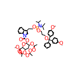 COC(=O)C1OC(OC(=O)n2cc(CCOP(OCCCOC(c3ccccc3)(c3ccc(OC)cc3)c3ccc(OC)cc3)N(C(C)C)C(C)C)c3ccccc32)C(OC(C)=O)C(OC(C)=O)C1OC(C)=O